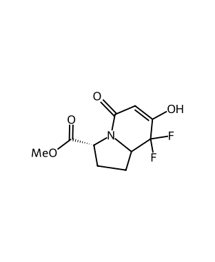 COC(=O)[C@H]1CCC2N1C(=O)C=C(O)C2(F)F